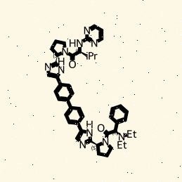 CCN(CC)[C@@H](C(=O)N1CCC[C@H]1c1ncc(-c2ccc(-c3ccc(-c4cnc([C@@H]5CCCN5C(=O)[C@@H](Nc5ncccn5)C(C)C)[nH]4)cc3)cc2)[nH]1)c1ccccc1